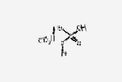 CC(=O)O.CCOP(=O)(O)CC